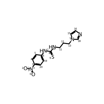 O=[N+]([O-])c1ccc(NC(=S)NCCCn2ccnc2)cc1